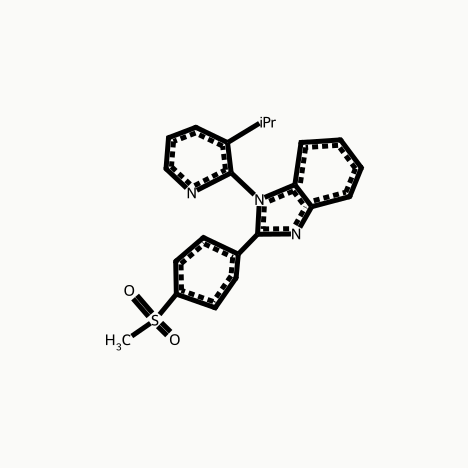 CC(C)c1cccnc1-n1c(-c2ccc(S(C)(=O)=O)cc2)nc2ccccc21